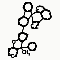 CC1(c2ccccc2)c2ccccc2Oc2cc(-c3ccc4c(c3)C3(c5ccccc5-4)c4ccccc4-c4cccc5cccc3c45)ccc21